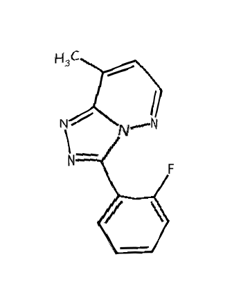 Cc1ccnn2c(-c3ccccc3F)nnc12